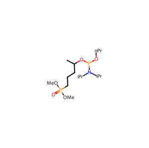 CCCOP(OC(C)CCCP(=O)(OC)OC)N(C(C)C)C(C)C